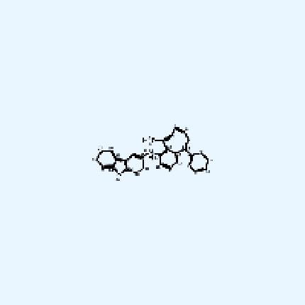 C/C1=C\C=C/CN(C2=CC=CCC2)C2CC=CC(NC3=Cc4c(sc5c4=CCCC=5)CC3)=C12